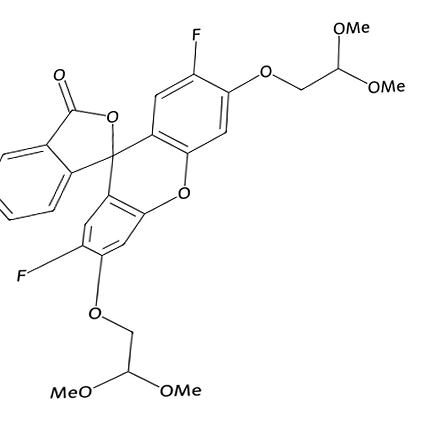 COC(COc1cc2c(cc1F)C1(OC(=O)c3ccccc31)c1cc(F)c(OCC(OC)OC)cc1O2)OC